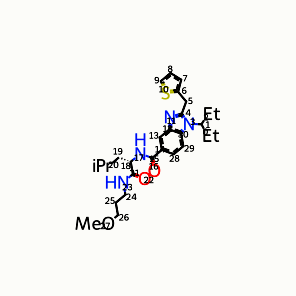 CCC(CC)n1c(Cc2cccs2)nc2cc(C(=O)N[C@@H](CC(C)C)C(=O)NCCCOC)ccc21